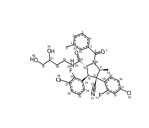 Cc1cccc(C(=O)N2[C@@H](C)[C@](C#N)(c3ccc(Cl)cc3F)[C@@H](c3cccc(Cl)c3F)[C@@H]2C(=O)NCCC(O)CO)c1